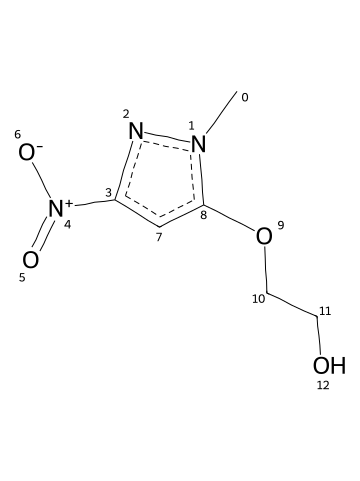 Cn1nc([N+](=O)[O-])cc1OCCO